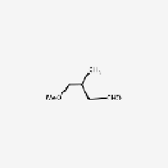 COCC(C)CC=O